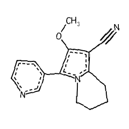 COc1c(C#N)c2n(c1-c1cccnc1)CCCC2